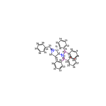 C[C@@H]1C(N(P(c2ccccc2)c2ccccc2)P(c2ccccc2)c2ccccc2)CCN1Cc1ccccc1